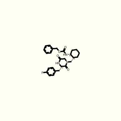 O=C1CN(C[C@H]2CCCC[C@H]2NC(=O)OCc2ccccc2)C(=O)[C@H](Cc2ccc(F)cc2)N1